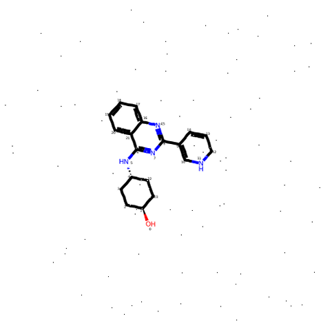 O[C@H]1CC[C@H](Nc2nc(C3=CNCC=C3)nc3ccccc23)CC1